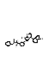 O=S(=O)(NCc1ccccc1)c1cccc(-c2cc3c(-c4cccc5[nH]ccc45)ccnc3[nH]2)c1